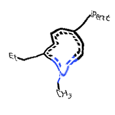 CCCC(C)c1cc(CC)n(C)c1